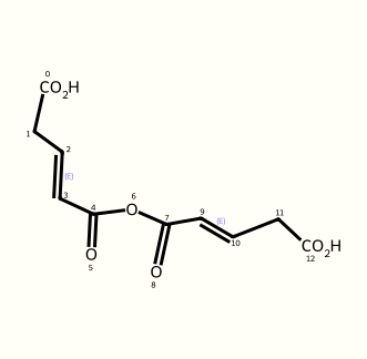 O=C(O)C/C=C/C(=O)OC(=O)/C=C/CC(=O)O